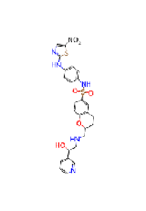 O=[N+]([O-])c1cnc(Nc2ccc(NS(=O)(=O)c3ccc4c(c3)CCC(CNCC(O)c3cccnc3)O4)cc2)s1